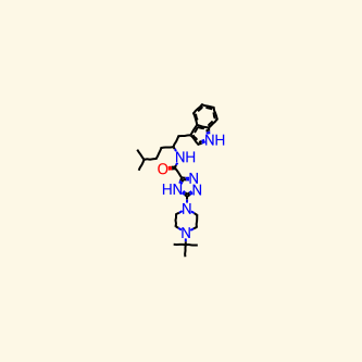 CC(C)CCC(Cc1c[nH]c2ccccc12)NC(=O)c1nnc(N2CCN(C(C)(C)C)CC2)[nH]1